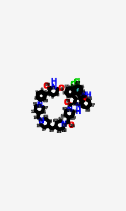 O=C1CCC(c2cccc(N3CCC(CN4CCC(CC5CCN(C(=O)C6CCN(C(=O)[C@@H]7NC8(CCCCC8)[C@@]8(C(=O)Nc9cc(Cl)ccc98)C7c7cccc(Cl)c7F)CC6)CC5)CC4)CC3)c2)C(=O)N1